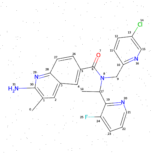 Cc1cc2cc(C(=O)N(Cc3ccc(Cl)cn3)C(C)c3ncccc3F)ccc2nc1N